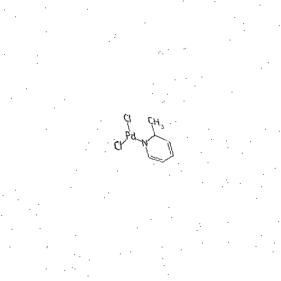 CC1C=CC=C[N]1[Pd]([Cl])[Cl]